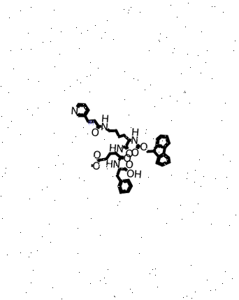 COC(=O)CCC(NC(=O)C(CCCCNC(=O)/C=C/c1cccnc1)NC(=O)OCC1c2ccccc2-c2ccccc21)C(=O)NC(Cc1ccccc1)C(=O)O